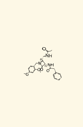 COc1ccc(CN2C(=O)[C@@H](NC(=O)Cc3ccccc3)[C@H]2CNC(C)=O)c(OC)c1